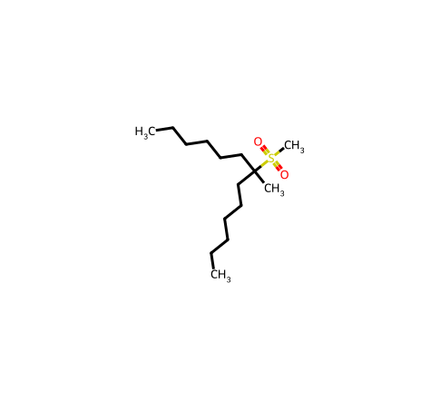 CCCCCCC(C)(CCCCCC)S(C)(=O)=O